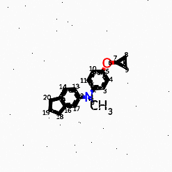 CN(c1ccc(OC2CC2)cc1)c1ccc2c(c1)CCC2